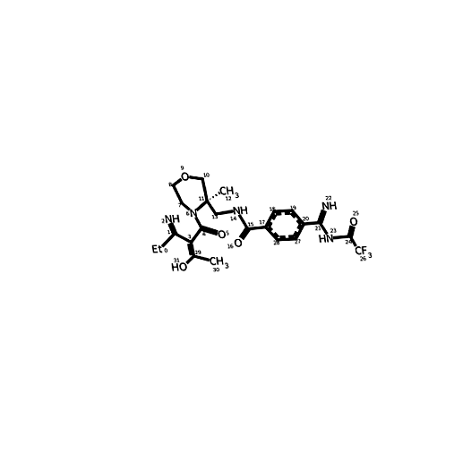 CCC(=N)/C(C(=O)N1CCOC[C@@]1(C)CNC(=O)c1ccc(C(=N)NC(=O)C(F)(F)F)cc1)=C(/C)O